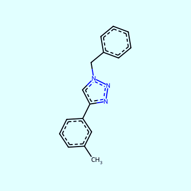 Cc1cccc(-c2cn(Cc3ccccc3)nn2)c1